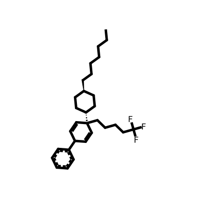 CCCCCCC[C@H]1CC[C@H](C2(CCCCC(F)(F)F)C=CC(c3ccccc3)C=C2)CC1